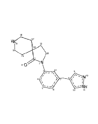 O=C1N(c2cccc(-c3cn[nH]c3)c2)CCC12CCNCC2